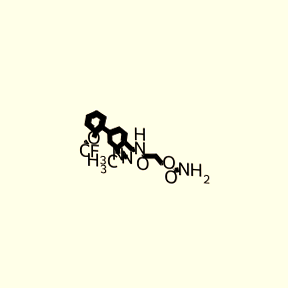 CN1N=C(NC(=O)CCOC(N)=O)C2=CC=C(c3ccccc3OCC(F)(F)F)CC21